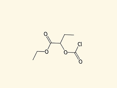 CCOC(=O)C(CC)OC(=O)Cl